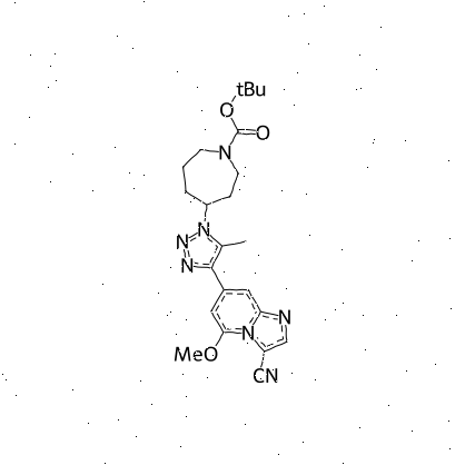 COc1cc(-c2nnn(C3CCCN(C(=O)OC(C)(C)C)CC3)c2C)cc2ncc(C#N)n12